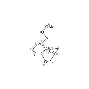 COOCc1cccc2c1C1CC1(C)CO2